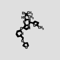 CCC(C)(C)Nc1nc(-c2ccc(C)o2)n2ncc(Oc3cccc(CO[C@H]4CCOC4)n3)c2n1